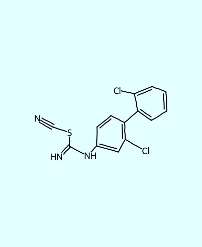 N#CSC(=N)Nc1ccc(-c2ccccc2Cl)c(Cl)c1